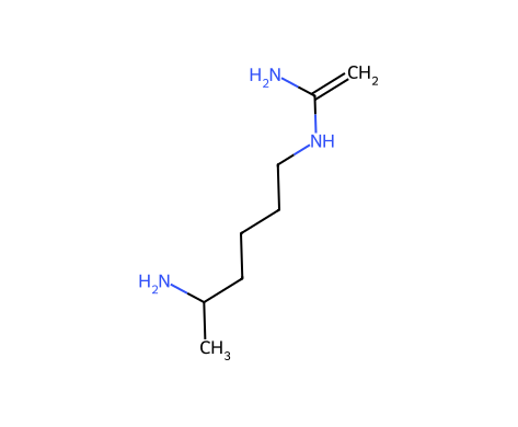 C=C(N)NCCCCC(C)N